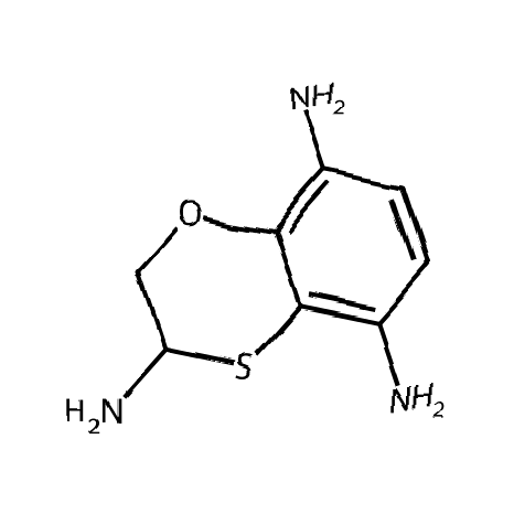 Nc1ccc(N)c2c1OCC(N)S2